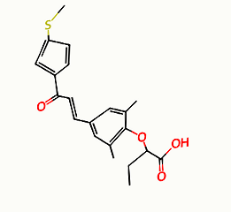 CCC(Oc1c(C)cc(C=CC(=O)c2ccc(SC)cc2)cc1C)C(=O)O